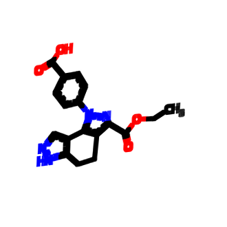 CCOC(=O)c1nn(-c2ccc(C(=O)O)cc2)c2c1CCc1[nH]ncc1-2